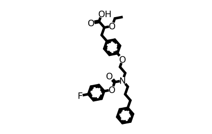 CCOC(Cc1ccc(OCCN(CCCc2ccccc2)C(=O)Oc2ccc(F)cc2)cc1)C(=O)O